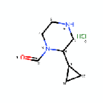 Cl.O=CN1CCNCC1C1CC1